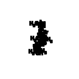 Cc1ccnc(COc2cc(C)n(-c3cc(-c4ccnc(C(C)(C)O)n4)ncc3C)c(=O)c2Br)n1